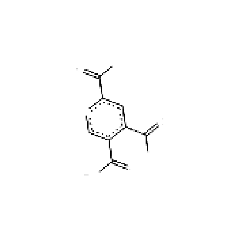 CC(=O)c1cc(C(C)=O)c(C(C)=O)cn1